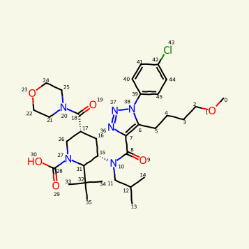 COCCCCc1c(C(=O)N(CC(C)C)[C@H]2C[C@@H](C(=O)N3CCOCC3)CN(C(=O)O)C2C(C)(C)C)nnn1-c1ccc(Cl)cc1